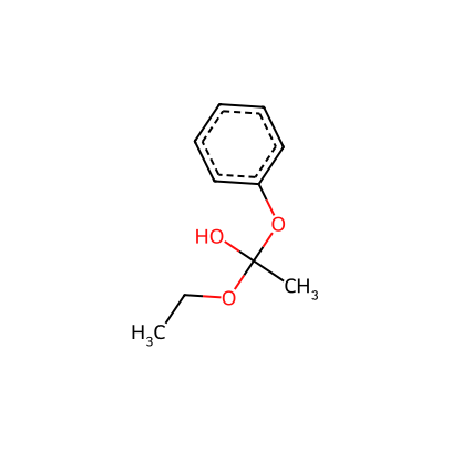 CCOC(C)(O)Oc1ccccc1